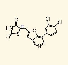 O=C1NC(=O)/C(=C/c2cc3cncc(-c4ccc(Cl)c(Cl)c4)c3o2)S1